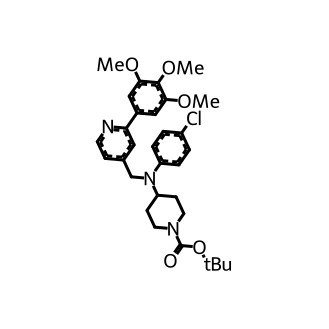 COc1cc(-c2cc(CN(c3ccc(Cl)cc3)C3CCN(C(=O)OC(C)(C)C)CC3)ccn2)cc(OC)c1OC